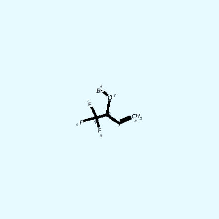 C=CC(OBr)C(F)(F)F